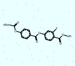 CCCCCCCCCC(=O)Oc1ccc(C(=O)Oc2ccc(C(=O)OCCC)c(F)c2)cc1